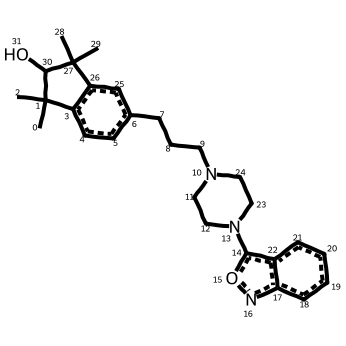 CC1(C)c2ccc(CCCN3CCN(c4onc5ccccc45)CC3)cc2C(C)(C)C1O